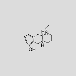 CCN1CCC[C@@H]2Cc3c(O)cccc3C[C@H]21